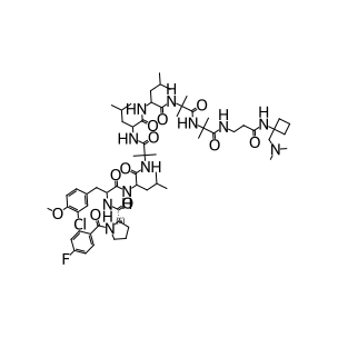 COc1ccc(CC(NC(=O)[C@@H]2CCCN2C(=O)c2ccc(F)cc2)C(=O)NC(CC(C)C)C(=O)NC(C)(C)C(=O)NC(CC(C)C)C(=O)NC(CC(C)C)C(=O)NC(C)(C)C(=O)NC(C)(C)C(=O)NCCC(=O)NC2(CN(C)C)CCC2)cc1Cl